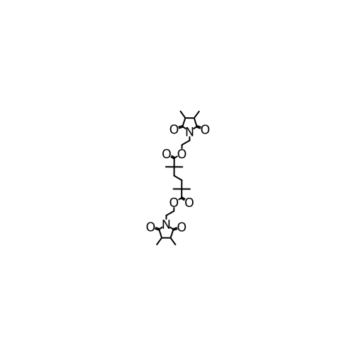 CC1C(=O)N(CCOC(=O)C(C)(C)CCC(C)(C)C(=O)OCCN2C(=O)C(C)C(C)C2=O)C(=O)C1C